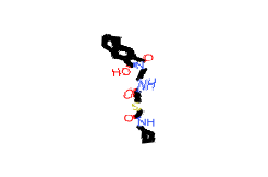 O=C(CSCC(=O)NCC1CCC1)NCCN1C(=O)c2cc3ccccc3cc2C1O